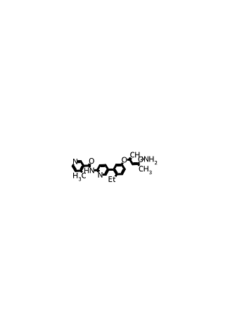 C=C(/C=C(/C)ON)Oc1ccc(CC)c(-c2ccc(NC(=O)c3cnccc3C)nc2)c1